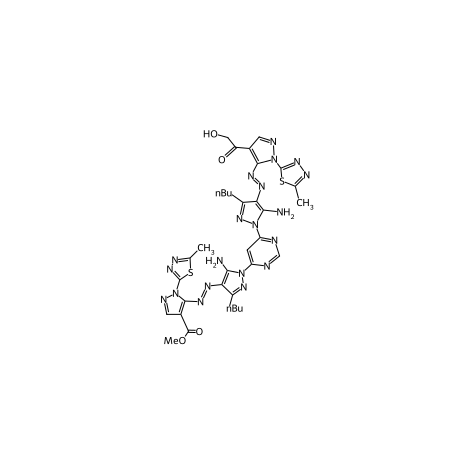 CCCCc1nn(-c2cc(-n3nc(CCCC)c(/N=N/c4c(C(=O)OC)cnn4-c4nnc(C)s4)c3N)ncn2)c(N)c1/N=N/c1c(C(=O)CO)cnn1-c1nnc(C)s1